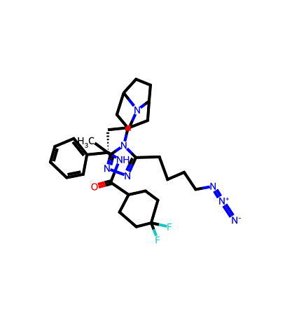 Cc1nnc(CCCCN=[N+]=[N-])n1C1CC2CCC(C1)N2CC[C@H](NC(=O)C1CCC(F)(F)CC1)c1ccccc1